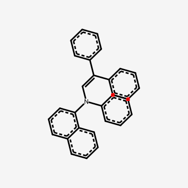 C(=C(c1ccccc1)c1ccccc1)N(c1ccccc1)c1cccc2ccccc12